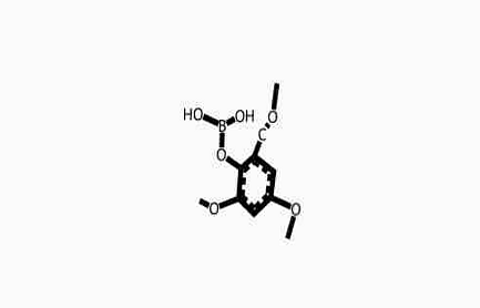 COCc1cc(OC)cc(OC)c1OB(O)O